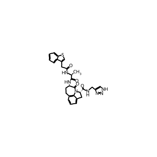 C[C@H](NC(=O)Cc1csc2ccccc12)C(=O)N[C@H]1CCc2cccc3c2N(C1=O)[C@H](C(=O)NCc1c[nH]nn1)C3